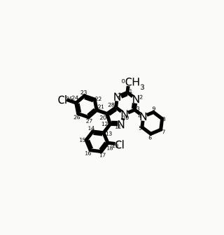 Cc1nc(N2CCCCC2)n2nc(-c3ccccc3Cl)c(-c3ccc(Cl)cc3)c2n1